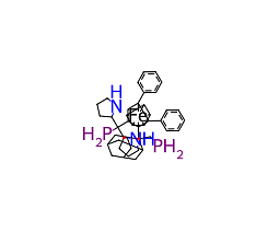 PCC1([C]23[C]4(c5ccccc5)[C]5(c6ccccc6)[CH]6[C]2(C(P)(C2CCCN2)C2CCCN2)[Fe]65432789[CH]3[CH]2[CH]7[CH]8[CH]39)C2CC3CC(C2)CC1C3